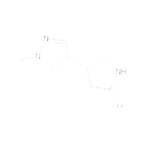 Cn1cc(C2CNC(=O)C2)cn1